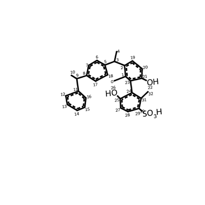 Cc1c(C(C)c2ccc(C(C)c3ccccc3)cc2)ccc(O)c1-c1c(O)ccc(S(=O)(=O)O)c1C